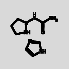 NC(=O)NN1CCCN1.c1c[nH]cn1